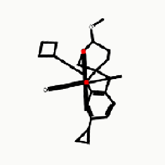 COC1CCC2(CC1)Cc1ccc(C3CC3)cc1C21NC(=O)N(C2CCC2)C1=O